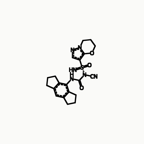 N#CN(C(=O)Nc1c2c(cc3c1CCC3)CCC2)[S@@](=N)(=O)c1cnn2c1OCCC2